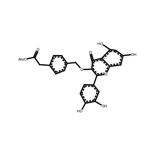 COC(=O)Cc1ccc(COc2c(-c3ccc(O)c(O)c3)oc3cc(O)cc(O)c3c2=O)cc1